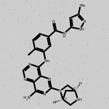 Cc1ccc(C(=O)Nc2cc(C(C)(C)C)n[nH]2)cc1Nc1ncnc2c(N)nc(N3C[C@@H]4C[C@H]3CN4)nc12